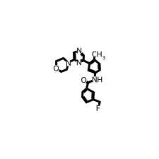 Cc1ccc(NC(=O)c2cccc(CF)c2)cc1-c1cncc(N2CCOCC2)n1